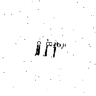 C=O.CC(=O)O.CC(=O)O